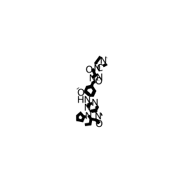 CCC1C(=O)N(C)c2cnc(Nc3ccc(-c4nc(C(=O)N5CCN(C)CC5)no4)cc3OC)nc2N1C1CCCC1